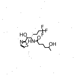 CC(O)CCCC(=O)N[C@@H](CCCC(F)(F)F)C(O)c1nccs1